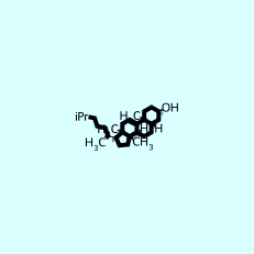 CC(C)CCCC(C)[C@H]1CC[C@@]2(C)[C@@H]3CC[C@H]4C[C@@H](O)CC[C@]4(C)C3=CC[C@]12C